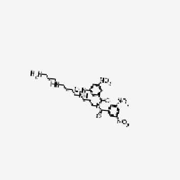 NCCCNCCCCNCCCN(C(=O)c1cc([N+](=O)[O-])cc([N+](=O)[O-])c1)C(=O)c1cc([N+](=O)[O-])cc([N+](=O)[O-])c1